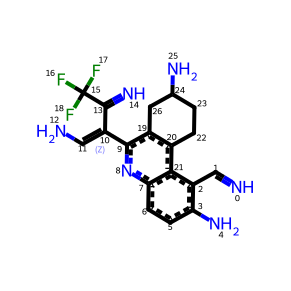 N=Cc1c(N)ccc2nc(/C(=C/N)C(=N)C(F)(F)F)c3c(c12)CCC(N)C3